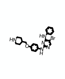 Brc1cnc(Nc2ccc(OCC3CCNCC3)cc2)nc1Nc1ccccc1